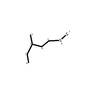 CCC(C)CCS[S]